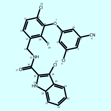 N#Cc1cc(Cl)cc(Oc2c(Cl)ccc(CNC(=O)c3[nH]c4ccccc4c3Cl)c2F)c1